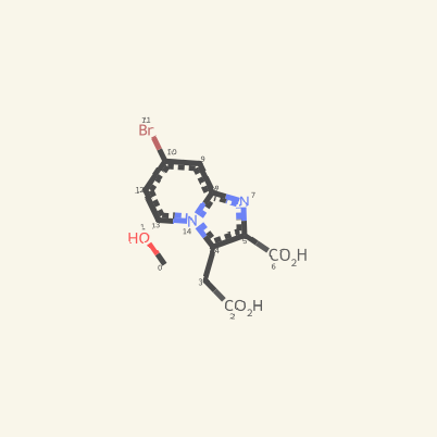 CO.O=C(O)Cc1c(C(=O)O)nc2cc(Br)ccn12